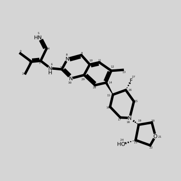 CC(C)=C(C=N)Nc1ncc2cc(C)c([C@@H]3CCN([C@@H]4COC[C@@H]4O)C[C@H]3F)cc2n1